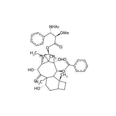 CO[C@@H](C(=O)O[C@H]1C[C@@]2(O)[C@@H](OC(=O)c3ccccc3)C3C(C)(C(=O)[C@H](O)C(=C1C)C2(C)C)[C@@H](O)CC1CC[C@]13C)[C@@H](NC(C)=O)c1ccccc1